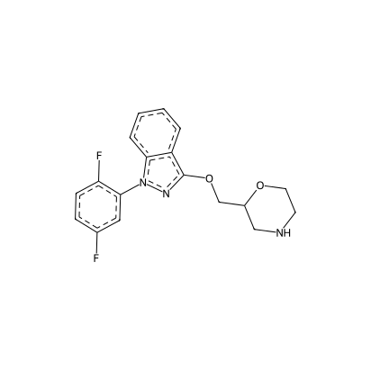 Fc1ccc(F)c(-n2nc(OCC3CNCCO3)c3ccccc32)c1